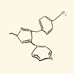 Cn1cc(-c2ccncc2)c(-c2ccc(C(F)(F)F)cc2)n1